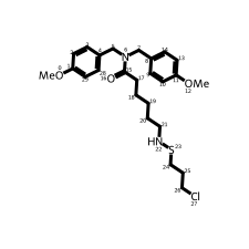 COc1ccc(CN(Cc2ccc(OC)cc2)C(=O)CCCCCNSCCCCl)cc1